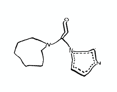 O=C(N1CCCCC1)n1[c]ncc1